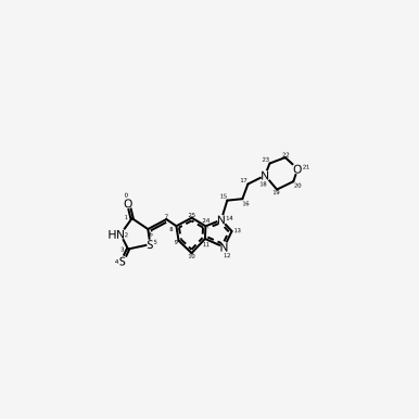 O=C1NC(=S)S/C1=C\c1ccc2ncn(CCCN3CCOCC3)c2c1